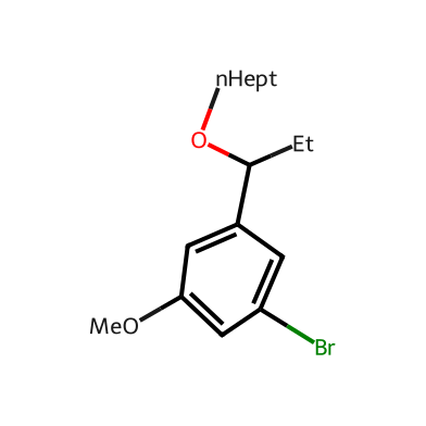 CCCCCCCOC(CC)c1cc(Br)cc(OC)c1